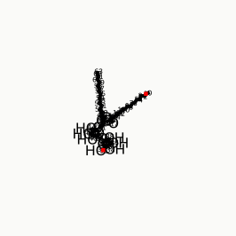 CCCCCCCCCCC=CCC=CCC(=O)OC[C@H](CO[C@@H]1O[C@H](CO[C@H]2O[C@H](CO)[C@H](O)C(O)C2O)[C@H](O)C(O)C1O)OC(=O)CC=CCCCCCCCCCCCCC